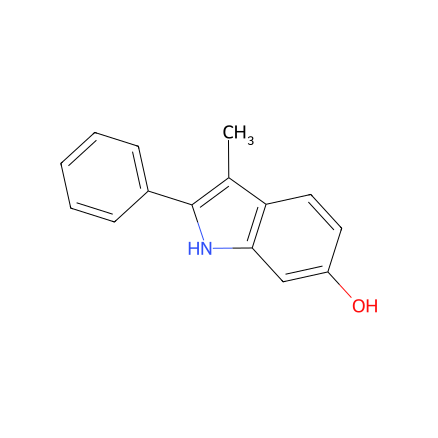 Cc1c(-c2ccccc2)[nH]c2cc(O)ccc12